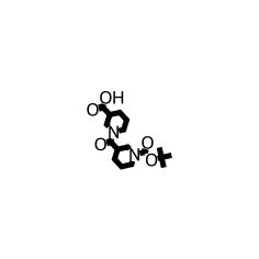 CC(C)(C)OC(=O)N1CCCC(C(=O)N2CCCC(C(=O)O)C2)C1